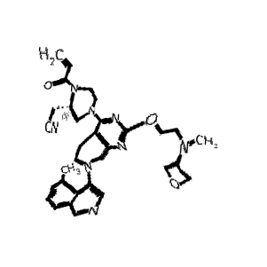 C=CC(=O)N1CCN(c2nc(OCCN(C)C3COC3)nc3c2CCN(c2cncc4cccc(C)c24)C3)C[C@@H]1CC#N